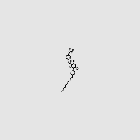 CCCCCCCCCCc1ccc(-c2c([O])cc(F)c(C(F)(F)Oc3ccc(OC(F)(F)F)cc3)c2F)cc1